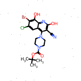 CC(C)(C)OC(=O)N1CCN(c2c(C#N)c(O)nc3c(O)c(Br)c(Cl)cc23)CC1